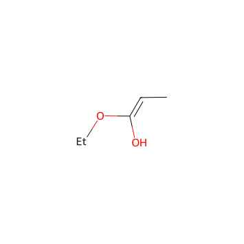 CC=C(O)OCC